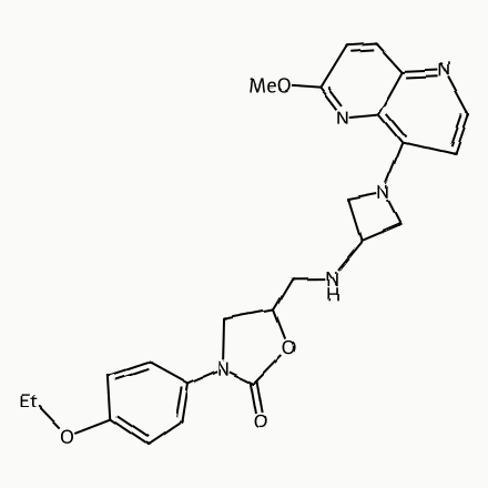 CCOc1ccc(N2CC(CNC3CN(c4ccnc5ccc(OC)nc45)C3)OC2=O)cc1